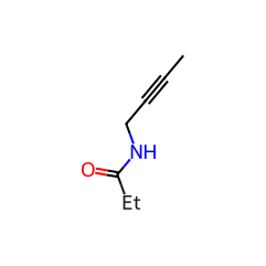 CC#CCNC(=O)CC